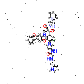 CN1CCCC1CCNCC(=O)N[C@@H]1CCN(c2c(F)cc3c(=O)c(C(=O)NCCN4CCCCC4)cn4c3c2Oc2cc3c(cc2-4)oc2ccccc23)C1